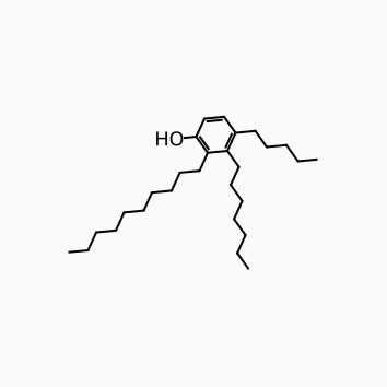 CCCCCCCCCCc1c(O)ccc(CCCCC)c1CCCCCCC